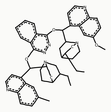 CCC1CN2CCC1CC2C(Oc1nnc(OC(c2ccnc3ccc(OC)cc23)C2CC3CCN2CC3CC)c2ccccc12)c1ccnc2ccc(C)cc12